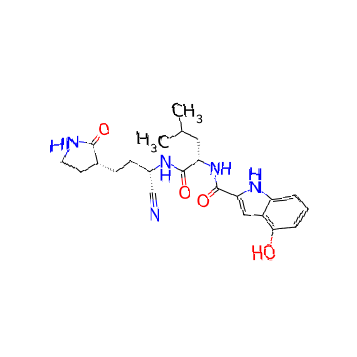 CC(C)C[C@H](NC(=O)c1cc2c(O)cccc2[nH]1)C(=O)N[C@H](C#N)CC[C@@H]1CCNC1=O